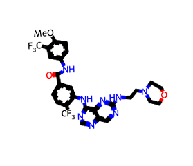 COc1ccc(NC(=O)c2ccc(C(F)(F)F)c(Nc3ncnc4cnc(NCCN5CCOCC5)nc34)c2)cc1C(F)(F)F